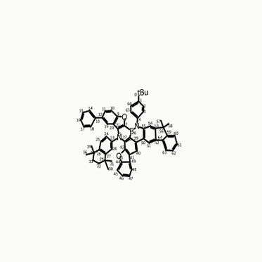 CC(C)(C)c1ccc(N2B3c4oc5ccc(-c6ccccc6)cc5c4N(c4ccc5c(c4)C(C)(C)CCC5(C)C)c4c3c(cc3c4oc4ccccc43)-c3cc4c(cc32)C(C)(C)c2ccccc2-4)cc1